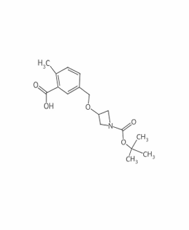 Cc1ccc(COC2CN(C(=O)OC(C)(C)C)C2)cc1C(=O)O